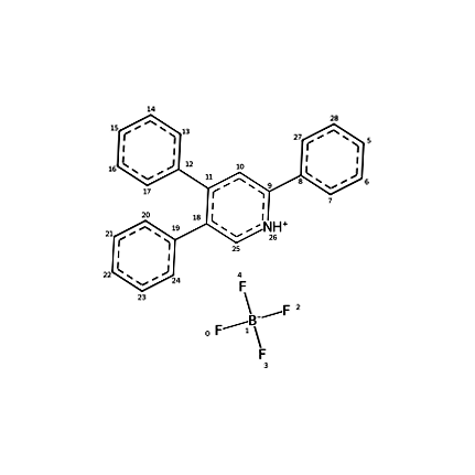 F[B-](F)(F)F.c1ccc(-c2cc(-c3ccccc3)c(-c3ccccc3)c[nH+]2)cc1